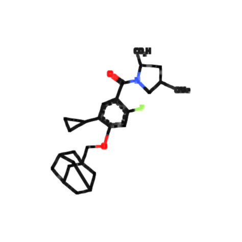 COC1CC(C(=O)O)N(C(=O)c2cc(C3CC3)c(OCC34CC5CC(CC(C5)C3)C4)cc2F)C1